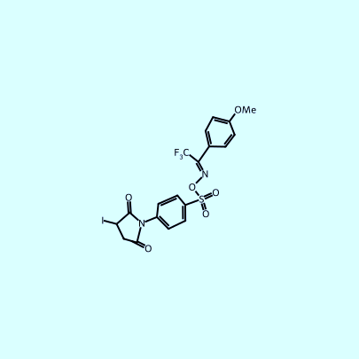 COc1ccc(C(=NOS(=O)(=O)c2ccc(N3C(=O)CC(I)C3=O)cc2)C(F)(F)F)cc1